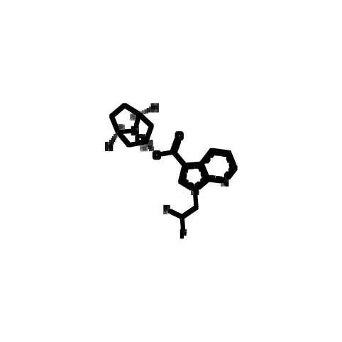 CN1[C@@H]2CC[C@H]1C[C@H](OC(=O)c1cn(CC(F)F)c3ncccc13)C2